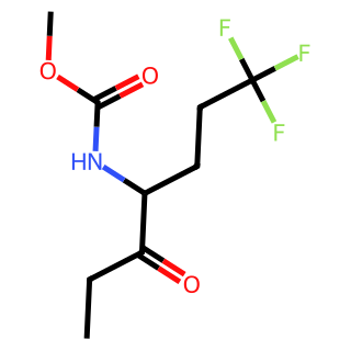 CCC(=O)C(CCC(F)(F)F)NC(=O)OC